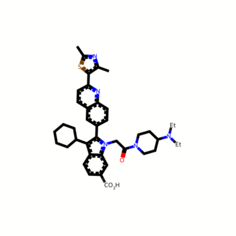 CCN(CC)C1CCN(C(=O)Cn2c(-c3ccc4nc(-c5sc(C)nc5C)ccc4c3)c(C3CCCCC3)c3ccc(C(=O)O)cc32)CC1